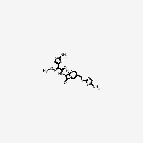 CON=C(C(=O)N[C@@H]1C(=O)N2C=C(CSc3nnc(N)s3)CS[C@@H]12)c1csc(N)n1